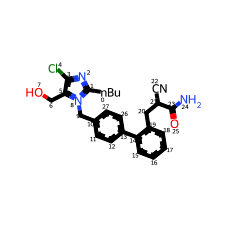 CCCCc1nc(Cl)c(CO)n1Cc1ccc(-c2ccccc2CC(C#N)C(N)=O)cc1